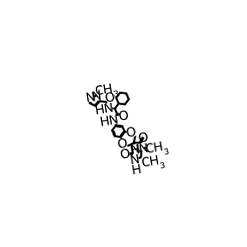 CNC(=O)C1(N2CC(C)NC2=O)COc2ccc(NC(=O)[C@@H](NC(=O)c3ccnn3C)C3CCCCC3)cc2OC1